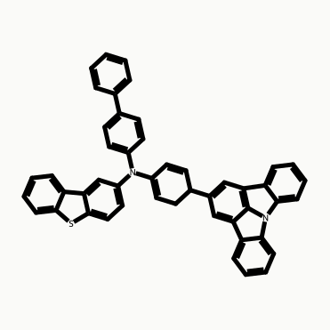 C1=CC(c2cc3c4ccccc4n4c5ccccc5c(c2)c34)CC=C1N(c1ccc(-c2ccccc2)cc1)c1ccc2sc3ccccc3c2c1